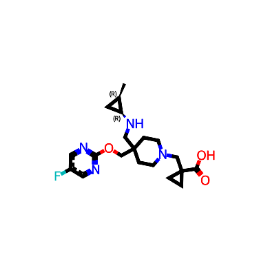 C[C@@H]1C[C@H]1NCC1(COc2ncc(F)cn2)CCN(CC2(C(=O)O)CC2)CC1